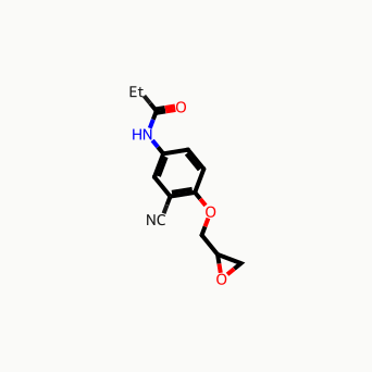 CCC(=O)Nc1ccc(OCC2CO2)c(C#N)c1